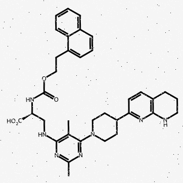 Cc1nc(NC[C@H](NC(=O)OCCc2cccc3ccccc23)C(=O)O)c(C)c(N2CCC(c3ccc4c(n3)NCCC4)CC2)n1